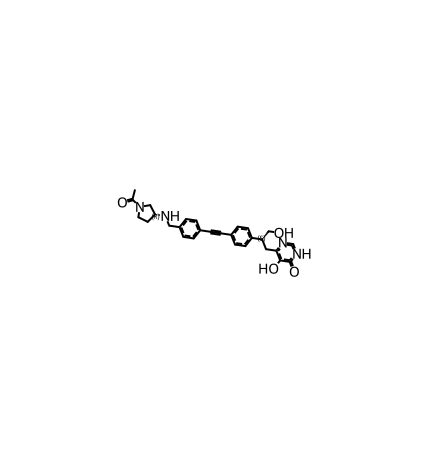 CC(=O)N1CC[C@@H](NCc2ccc(C#Cc3ccc([C@@H](CO)Cc4nc[nH]c(=O)c4O)cc3)cc2)C1